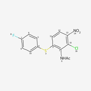 CC(=O)Nc1c(Sc2ccc(F)cc2)ccc([N+](=O)[O-])c1Cl